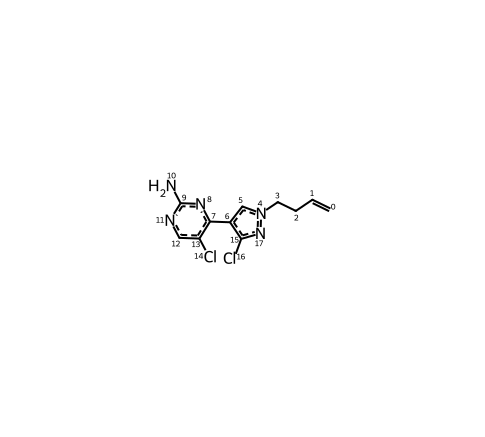 C=CCCn1cc(-c2nc(N)ncc2Cl)c(Cl)n1